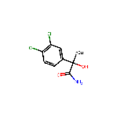 CCCCC(O)(C(N)=O)c1ccc(Cl)c(Cl)c1